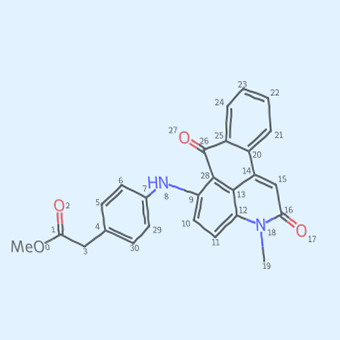 COC(=O)Cc1ccc(Nc2ccc3c4c(cc(=O)n3C)-c3ccccc3C(=O)c24)cc1